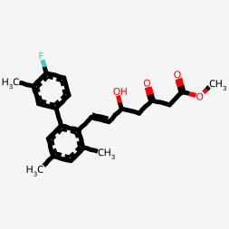 COC(=O)CC(=O)CC(O)C=Cc1c(C)cc(C)cc1-c1ccc(F)c(C)c1